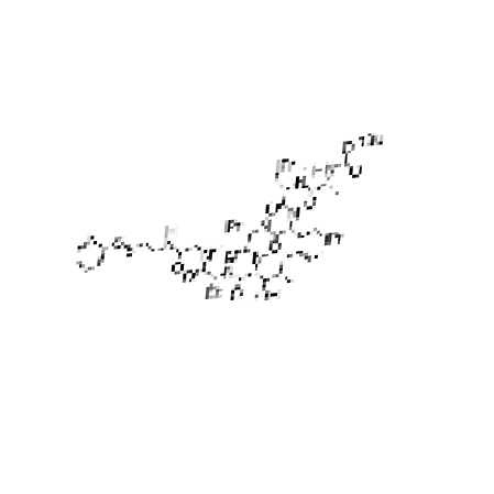 C/C=C/C[C@@H](C)[C@@H](O)[C@@H](C(=O)N[C@@H](CC)C(=O)N(C)CC(=O)NCCSSc1ccccn1)N(C)C(=O)[C@H](C(C)C)N(C)C(=O)[C@H](CCC(C)C)N(C)C(=O)[C@H](CC(C)C)N(C)C(=O)[C@@H](C)NC(=O)OC(C)(C)C